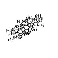 CCC(C)(C)N(C)Cc1cc(O)c2c(c1N(C)C)C[C@H]1C[C@H]3[C@H](N(C)C)C(O)=C(C(N)=O)C(=O)[C@@]3(O)C(O)=C1C2=O